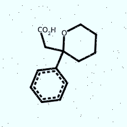 O=C(O)CC1(c2ccccc2)CCCCO1